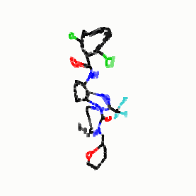 CC[N+]1(C(=O)NCC2CCCO2)C(C(F)(F)F)=Nc2c(NC(=O)c3c(Cl)cccc3Cl)cccc21